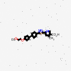 CCOCCOc1ccc(-c2ccc(-c3nnc(-c4cc(C)c(C(=O)O)cn4)s3)cc2)cc1